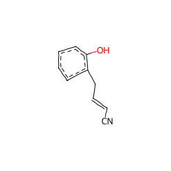 N#CC=CCc1ccccc1O